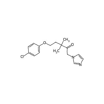 CC(C)(CCOc1ccc(Cl)cc1)C(=O)Cn1ccnc1